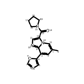 Cc1cc(-c2cnco2)c2ncc(C(=O)N3CCCC3)n2c1